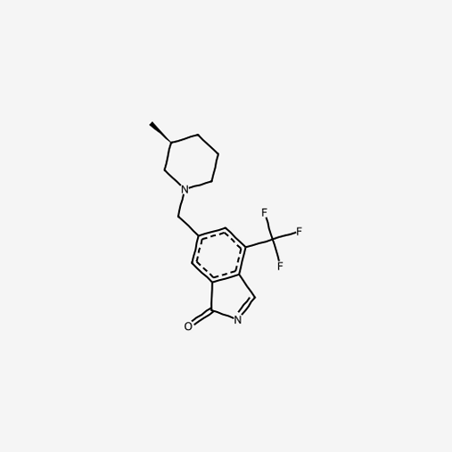 C[C@H]1CCCN(Cc2cc3c(c(C(F)(F)F)c2)C=NC3=O)C1